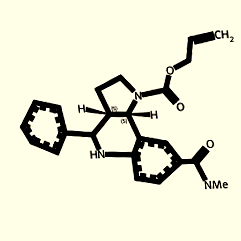 C=CCOC(=O)N1CC[C@H]2C(c3ccccc3)Nc3ccc(C(=O)NC)cc3[C@H]21